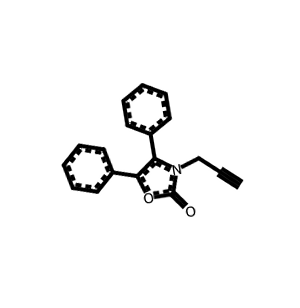 C#CCn1c(-c2ccccc2)c(-c2ccccc2)oc1=O